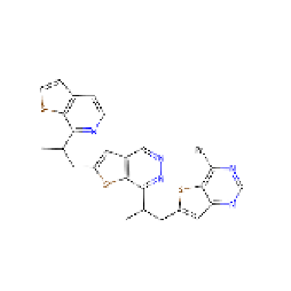 CC(C)c1ncnc2cc(CC(C)c3nncc4cc(CC(C)c5nccc6ccsc56)sc34)sc12